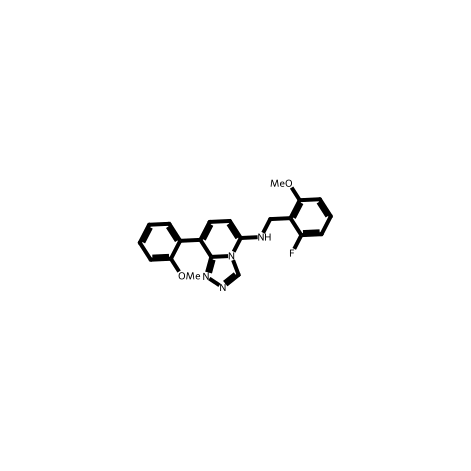 COc1ccccc1-c1ccc(NCc2c(F)cccc2OC)n2cnnc12